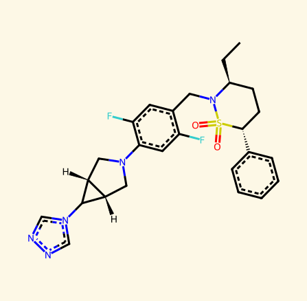 CC[C@H]1CC[C@H](c2ccccc2)S(=O)(=O)N1Cc1cc(F)c(N2C[C@@H]3C(n4cnnc4)[C@@H]3C2)cc1F